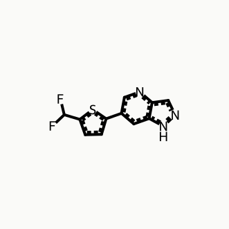 FC(F)c1ccc(-c2cnc3cn[nH]c3c2)s1